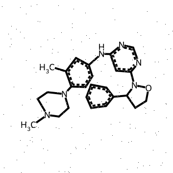 Cc1cc(Nc2cc(N3OCCC3c3ccccc3)ncn2)ccc1N1CCN(C)CC1